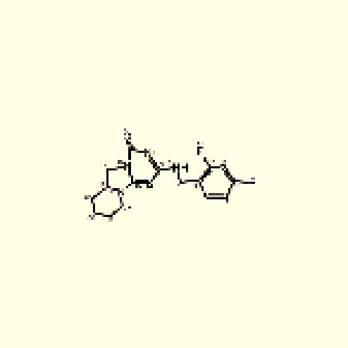 O=c1nc(NCc2ccc(F)cc2F)cc2n1CC1CCCCN21